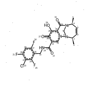 C[C@@H]1C=C[C@H](C)N2CN1n1cc(C(=O)NCc3c(F)cc(F)c(Cl)c3F)c(=O)c(O)c1C2=O